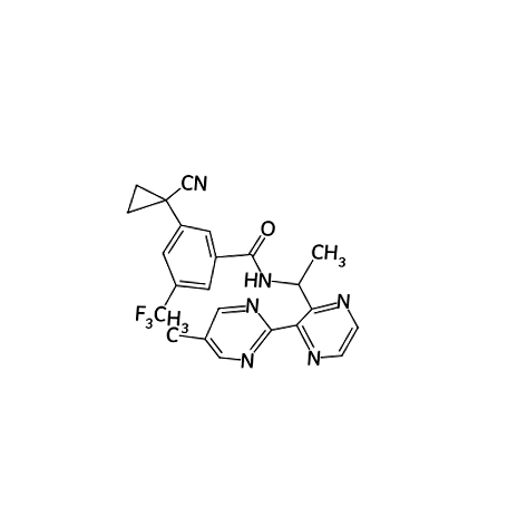 Cc1cnc(-c2nccnc2C(C)NC(=O)c2cc(C(F)(F)F)cc(C3(C#N)CC3)c2)nc1